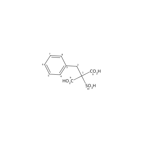 O=C(O)C(Cc1ccccc1)(C(=O)O)S(=O)(=O)O